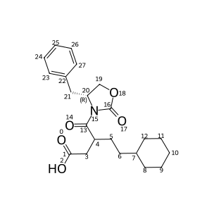 O=C(O)CC(CCC1CCCCC1)C(=O)N1C(=O)OC[C@H]1Cc1ccccc1